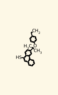 C=Cc1ccc(OC(C)(C)c2ccc3c(S)cc4ccccc4c3c2)cc1